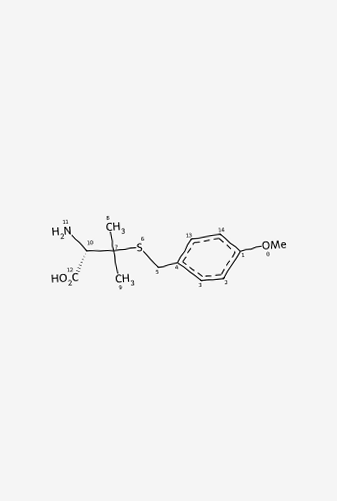 COc1ccc(CSC(C)(C)[C@@H](N)C(=O)O)cc1